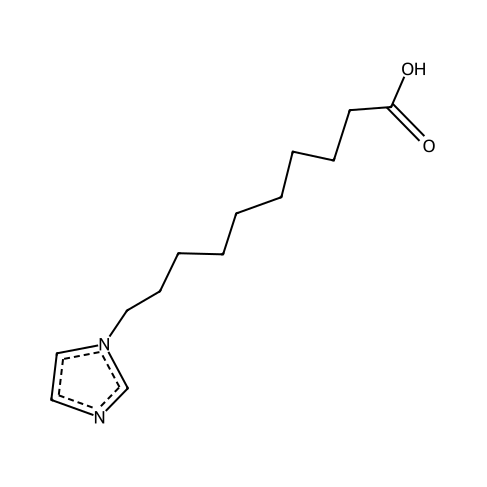 O=C(O)CCCCCCCCCn1ccnc1